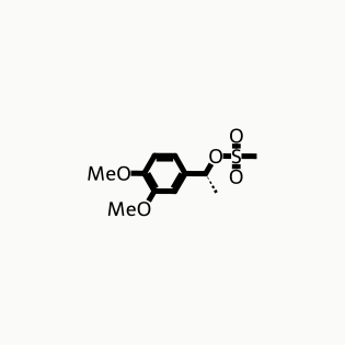 COc1ccc([C@@H](C)OS(C)(=O)=O)cc1OC